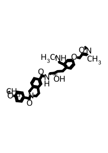 CNCc1cc(OCc2ocnc2C)ccc1CC[C@H](O)CNC(=O)c1ccc2c(c1)CCN(C(=O)c1ccc(OC)cc1)C2